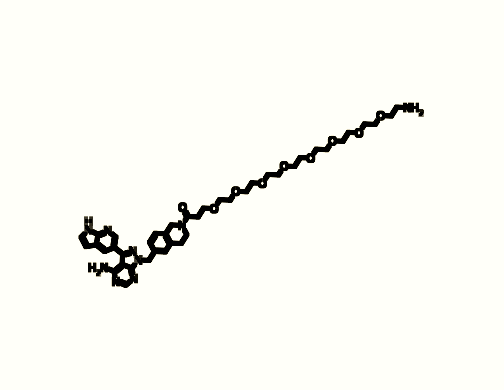 NCCOCCOCCOCCOCCOCCOCCOCCOCCC(=O)N1CCc2cc(Cn3nc(-c4cnc5[nH]ccc5c4)c4c(N)ncnc43)ccc2C1